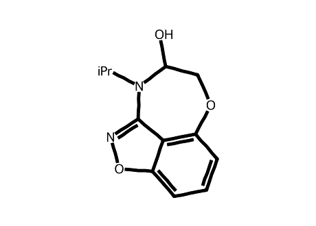 CC(C)N1c2noc3cccc(c23)OCC1O